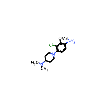 COc1c(N)ccc(N2CCC(N(C)C)CC2)c1Cl